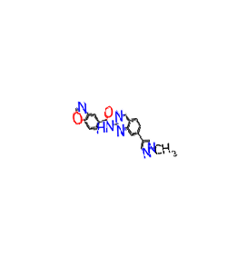 Cn1cc(-c2ccc3cnc(NC(=O)c4ccc5ocnc5c4)nc3c2)cn1